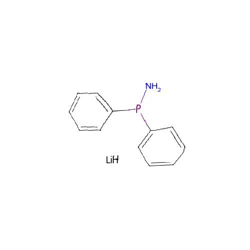 NP(c1ccccc1)c1ccccc1.[LiH]